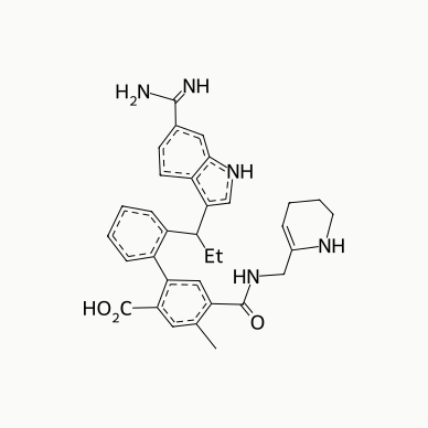 CCC(c1ccccc1-c1cc(C(=O)NCC2=CCCCN2)c(C)cc1C(=O)O)c1c[nH]c2cc(C(=N)N)ccc12